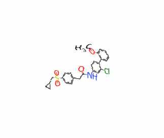 COc1ccccc1-c1ccc(NC(=O)Cc2ccc(S(=O)(=O)CC3CC3)cc2)cc1Cl